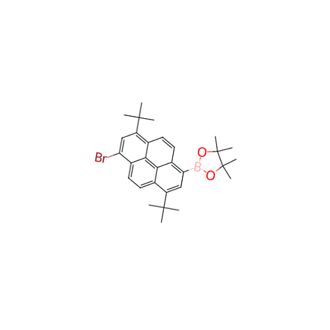 CC(C)(C)c1cc(Br)c2ccc3c(C(C)(C)C)cc(B4OC(C)(C)C(C)(C)O4)c4ccc1c2c43